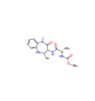 CCCC[C@H](NC(=O)OC(C)(C)C)C(=O)NC1C(=O)N(C)c2ccccc2NC1C(C)C